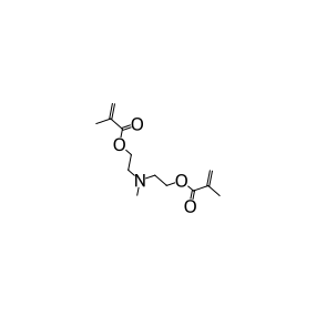 C=C(C)C(=O)OCCN(C)CCOC(=O)C(=C)C